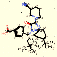 CC(C)(C)CC[C@H](c1ccc(C(=O)O)cc1)N1C(=O)C(N2CCCC(C#N)C2)=NC12CCC(C(C)(C)C)CC2